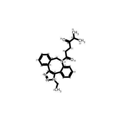 CCn1nnc2c1-c1ccccc1N(C(=O)CCC(=O)C(C)C)Cc1ccccc1-2